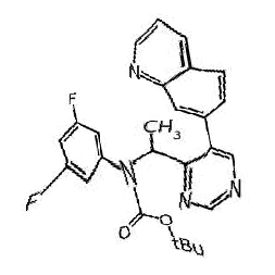 CC(c1ncncc1-c1ccc2cccnc2c1)N(C(=O)OC(C)(C)C)c1cc(F)cc(F)c1